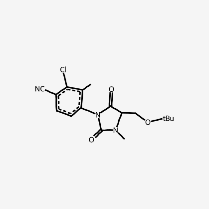 Cc1c(N2C(=O)C(COC(C)(C)C)N(C)C2=O)ccc(C#N)c1Cl